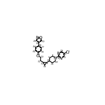 Clc1cnc(N2CCC(C3CC3CCOc3ccc(-c4cnoc4)cc3)CC2)nc1